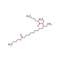 CCCCOC(=O)CCCCCCCCCC(CC)C(CC)C(=O)OCCCC